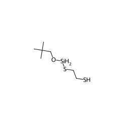 CC(C)(C)CO[SiH2]SCCS